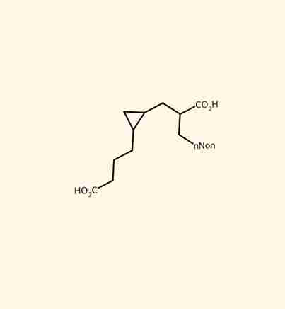 CCCCCCCCCCC(CC1CC1CCCC(=O)O)C(=O)O